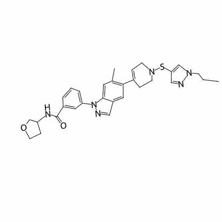 CCCn1cc(SN2CC=C(c3cc4cnn(-c5cccc(C(=O)NC6CCOC6)c5)c4cc3C)CC2)cn1